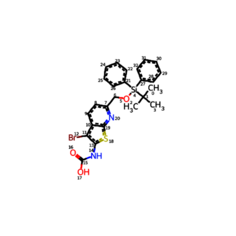 CC(C)(C)[Si](OCc1ccc2c(Br)c(NC(=O)O)sc2n1)(c1ccccc1)c1ccccc1